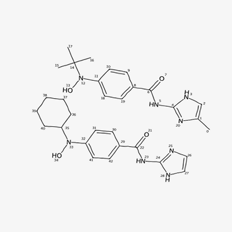 Cc1c[nH]c(NC(=O)c2ccc(N(O)C(C)(C)C)cc2)n1.O=C(Nc1ncc[nH]1)c1ccc(N(O)C2CCCCC2)cc1